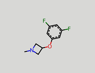 CN1CC(Oc2cc(F)cc(F)c2)C1